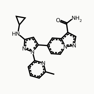 Cc1cccc(-n2nc(NC3CC3)cc2-c2ccn3ncc(C(N)=O)c3c2)n1